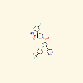 O=C(c1cc(-c2ccncc2)n(-c2ccc(C(F)(F)F)cc2)n1)N1CCC2(CC1)C(=O)Nc1ccc(F)cc12